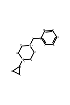 [CH]1CC1N1CCN(Cc2ccccc2)CC1